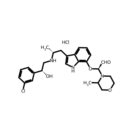 CC1COCCN1[C@H](C=O)Oc1cccc2c(C[C@@H](C)NC[C@H](O)c3cccc(Cl)c3)c[nH]c12.Cl